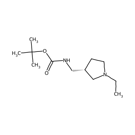 CCN1CC[C@@H](CNC(=O)OC(C)(C)C)C1